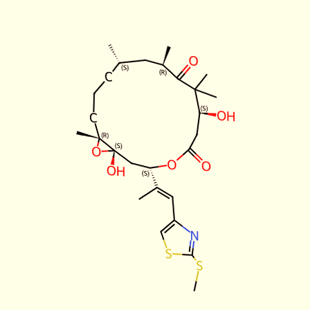 CSc1nc(C=C(C)[C@@H]2C[C@]3(O)O[C@]3(C)CCC[C@H](C)C[C@@H](C)C(=O)C(C)(C)[C@@H](O)CC(=O)O2)cs1